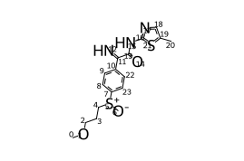 COCCC[S+]([O-])c1ccc(C(=N)C(=O)Nc2ncc(C)s2)cc1